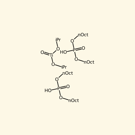 CC(C)[O][Ti](=[O])[O]C(C)C.CCCCCCCCOP(=O)(O)OCCCCCCCC.CCCCCCCCOP(=O)(O)OCCCCCCCC